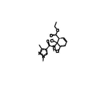 CCOC(=O)C1C=CC=C(Cl)C1(Cl)NC(=O)c1cn(C)nc1C